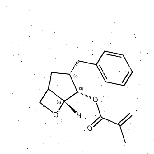 C=C(C)C(=O)O[C@H]1[C@@H](Cc2ccccc2)CC2CO[C@H]21